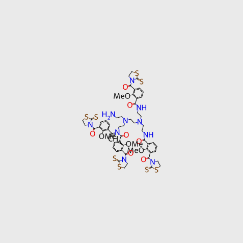 COc1c(C(=O)NCCN(CCNC(=O)c2cccc(C(=O)N3CCSC3=S)c2OC)CCN(CCN)CCN(C(=O)c2cccc(C(=O)N3CCSC3=S)c2OC)[C@@H](C)c2cccc(C(=O)N3CCSC3=S)c2OC)cccc1C(=O)N1CCSC1=S